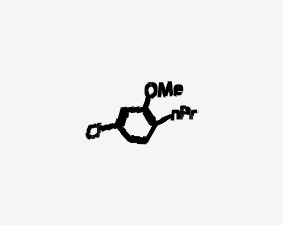 [CH2]CCc1ccc(Cl)cc1OC